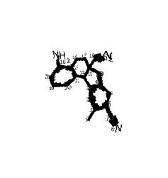 Cc1cc2c(cc1C#N)CC1(C#N)CCc3c(N)cccc3C21